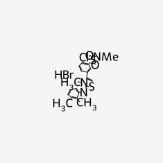 Br.CNS(=O)(=O)c1cc(-c2csc(=Nc3cccc(C)c3C)n2C)ccc1Cl